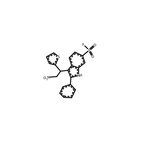 O=[N+]([O-])CC(c1cccs1)c1c(-c2ccccc2)[nH]c2cc(S(=O)(=O)F)ccc12